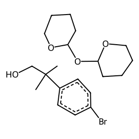 C1CCC(OC2CCCCO2)OC1.CC(C)(CO)c1ccc(Br)cc1